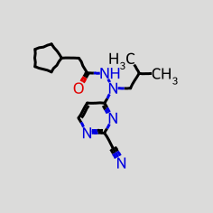 CC(C)CN(NC(=O)CC1CCCC1)c1ccnc(C#N)n1